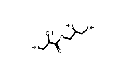 O=C(OCC(O)CO)C(O)CO